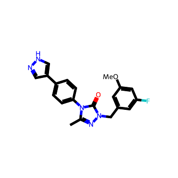 COc1cc(F)cc(Cn2nc(C)n(-c3ccc(-c4cn[nH]c4)cc3)c2=O)c1